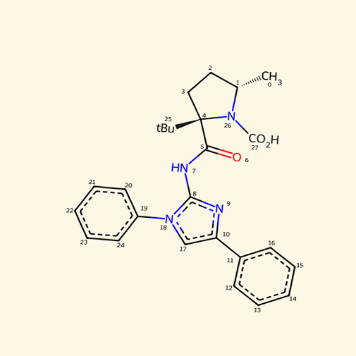 C[C@H]1CC[C@](C(=O)Nc2nc(-c3ccccc3)cn2-c2ccccc2)(C(C)(C)C)N1C(=O)O